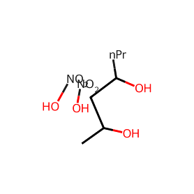 CCCC(O)CC(C)O.O=[N+]([O-])O.O=[N+]([O-])O